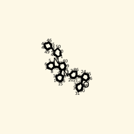 C1=CC(n2c3ccccc3c3c4c5ccccc5n(-c5ccc(-c6cccc7oc8ccccc8c67)cc5)c4ccc32)=CC(c2ccccc2)C1